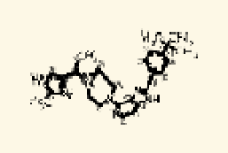 Cc1nc(C(C)N2CCN(c3nccc4[nH]c(-c5ccc(C(C)(C)C)cc5)nc34)CC2)c[nH]1